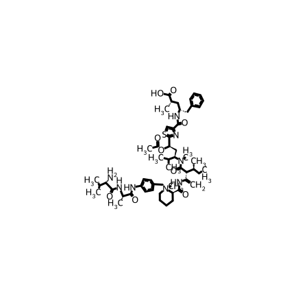 C=C(NC(=O)[C@H]1CCCC[N+]1(C)Cc1ccc(NC(=O)[C@H](C)NC(=O)[C@@H](N)C(C)C)cc1)[C@H](C(=O)N(C)[C@H](C[C@@H](OC(C)=O)c1nc(C(=O)N[C@@H](Cc2ccccc2)C[C@H](C)C(=O)O)cs1)C(C)C)[C@@H](C)CC